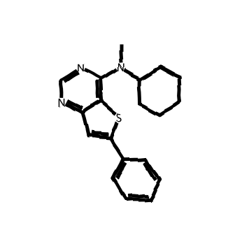 CN(c1ncnc2cc(-c3ccccc3)sc12)C1CCCCC1